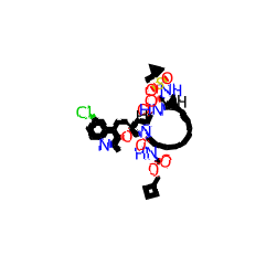 Cc1nc2ccc(Cl)cc2c2c1O[C@]1(CC2)C[C@H]2C(=O)N[C@]3(C(=O)NS(=O)(=O)C4(C)CC4)C[C@H]3/C=C\CCCCC[C@H](NC(=O)OCC3CCC3)C(=O)N2C1